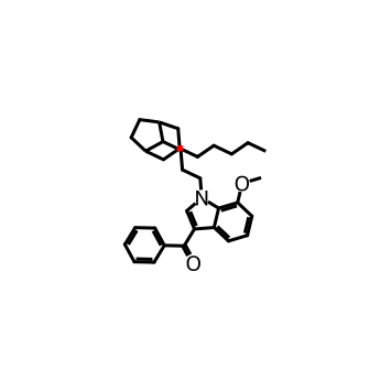 CCCCCC1CC2CCC(C1)C2CCCn1cc(C(=O)c2ccccc2)c2cccc(OC)c21